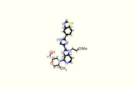 COCCn1c(-c2c[nH]c(-c3ccc4scnc4c3)n2)nc2c(N3C[C@@H](CO)OC[C@@H]3C)nccc21